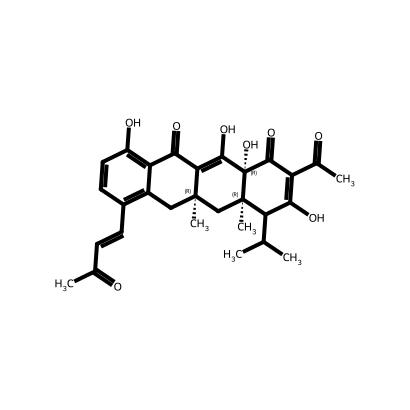 CC(=O)C=Cc1ccc(O)c2c1C[C@]1(C)C[C@]3(C)C(C(C)C)C(O)=C(C(C)=O)C(=O)[C@]3(O)C(O)=C1C2=O